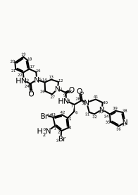 Nc1c(Br)cc(C[C@@H](NC(=O)N2CCC(N3Cc4ccccc4NC3=O)CC2)C(=O)N2CCN(c3ccncc3)CC2)cc1Br